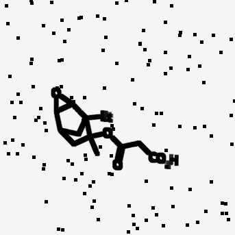 CCC12CC(CC1(C)OC(=O)CC(=O)O)C1OC12